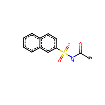 CC(C)C(=O)NS(=O)(=O)c1ccc2ccccc2c1